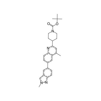 Cc1cc(C2CCN(C(=O)OC(C)(C)C)CC2)nc2ccc(-c3ccc4nn(C)cc4c3)cc12